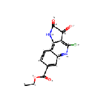 CCOC(=O)c1ccc2c3c(c(Cl)nc2c1)C(=O)C(=O)N3